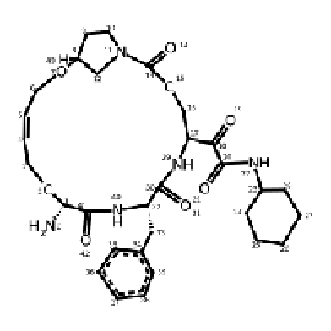 N[C@@H]1CC/C=C\CO[C@@H]2CCN(C2)C(=O)CC[C@@H](C(=O)C(=O)NC2CCCCC2)NC(=O)[C@H](Cc2ccccc2)NC1=O